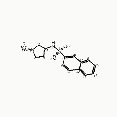 N#CN1CCC(NS(=O)(=O)c2ccc3ccccc3c2)C1